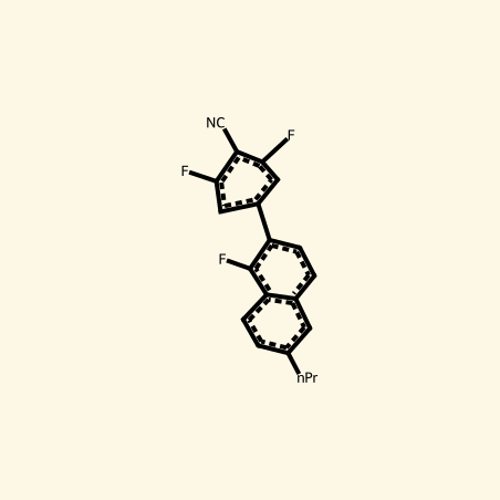 CCCc1ccc2c(F)c(-c3cc(F)c(C#N)c(F)c3)ccc2c1